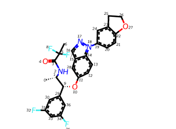 C[C@H](NC(=O)C(C)(F)F)[C@H](Oc1ccc2c(cnn2-c2ccc3c(c2)CCO3)c1)c1cc(F)cc(F)c1